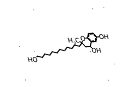 CC1(CCCCCCCCCCCCO)CC(O)c2cc(O)ccc2O1